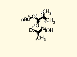 C=C(C)C(=O)OCCCC.CCC(C)=NO